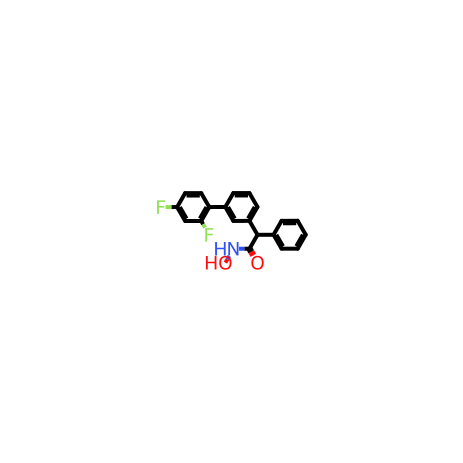 O=C(NO)C(c1ccccc1)c1cccc(-c2ccc(F)cc2F)c1